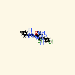 Cc1ccc(CNNC=NC(=O)c2nc(Cl)c(NCc3ccc(Cl)cc3)nc2N)c(C)c1